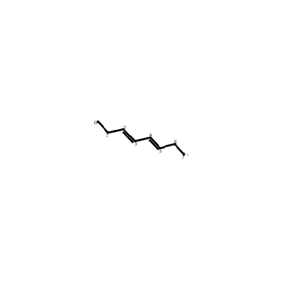 [CH2]C/C=C/C=C/C[CH2]